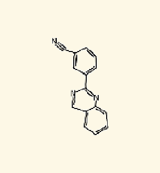 N#Cc1cccc(-c2ncc3ccccc3n2)c1